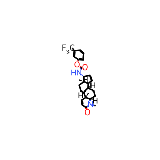 CN1C(=O)C=C[C@]2(C)[C@H]3CC[C@]4(C)[C@@H](NC(=O)Oc5cccc(C(F)(F)F)c5)CC[C@H]4[C@@H]3CC[C@@H]12